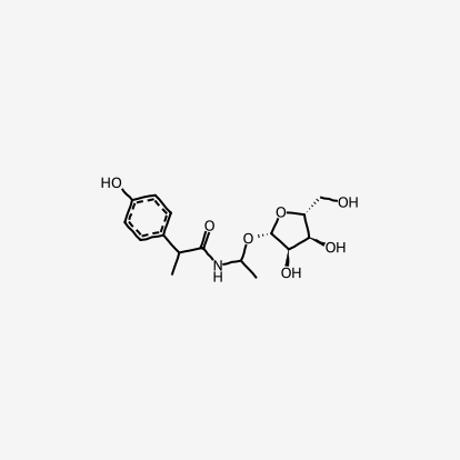 CC(NC(=O)C(C)c1ccc(O)cc1)O[C@@H]1O[C@H](CO)[C@@H](O)[C@H]1O